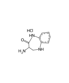 Cl.NC1CNc2ccccc2NC1=O